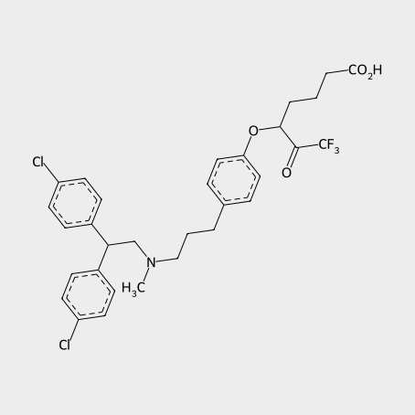 CN(CCCc1ccc(OC(CCCC(=O)O)C(=O)C(F)(F)F)cc1)CC(c1ccc(Cl)cc1)c1ccc(Cl)cc1